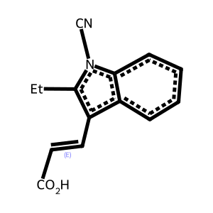 CCc1c(/C=C/C(=O)O)c2ccccc2n1C#N